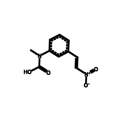 CN(C(=O)O)c1cccc(C=C[N+](=O)[O-])c1